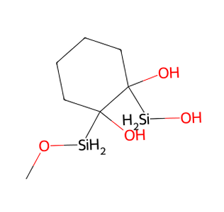 CO[SiH2]C1(O)CCCCC1(O)[SiH2]O